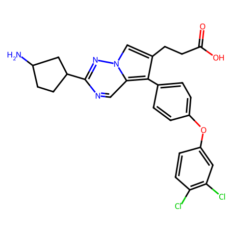 NC1CCC(c2ncc3c(-c4ccc(Oc5ccc(Cl)c(Cl)c5)cc4)c(CCC(=O)O)cn3n2)C1